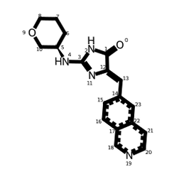 O=C1NC(N[C@@H]2CCCOC2)=N/C1=C\c1ccc2cnccc2c1